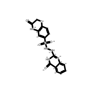 O=C1COc2ccc(S(=O)(=O)NNc3nc4ccccc4c(=O)[nH]3)cc2N1